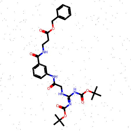 CC(C)(C)OC(=O)/N=C(\NCC(=O)Nc1cccc(C(=O)NCCC(=O)OCc2ccccc2)c1)NC(=O)OC(C)(C)C